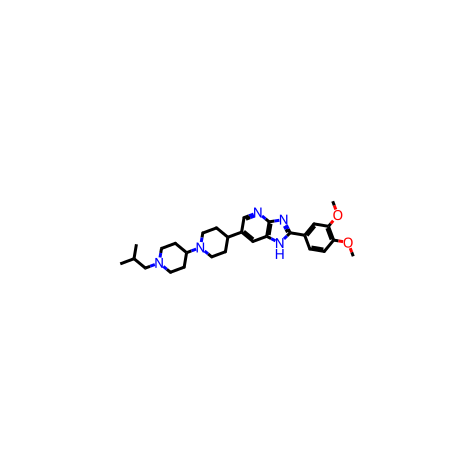 COc1ccc(-c2nc3ncc(C4CCN(C5CCN(CC(C)C)CC5)CC4)cc3[nH]2)cc1OC